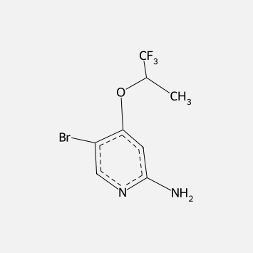 CC(Oc1cc(N)ncc1Br)C(F)(F)F